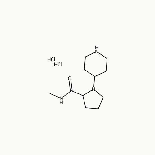 CNC(=O)C1CCCN1C1CCNCC1.Cl.Cl